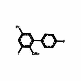 COc1c(I)cc(C(C)C)cc1-c1ccc(F)cc1